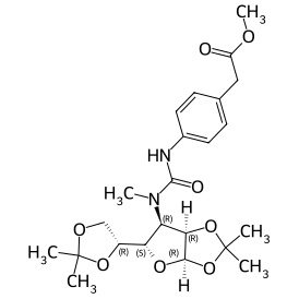 COC(=O)Cc1ccc(NC(=O)N(C)[C@H]2[C@H]3OC(C)(C)O[C@H]3O[C@@H]2[C@H]2COC(C)(C)O2)cc1